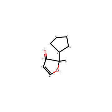 CC1(C2CCCC2)OC=CC1=O